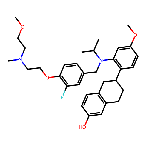 COCCN(C)CCOc1ccc(CN(c2cc(OC)ccc2C2CCc3cc(O)ccc3C2)C(C)C)cc1F